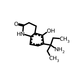 CCC(N)(CC)c1ccc2c(c1O)CCC(=O)N2